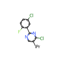 CC(C)c1cnc(-c2cc(Cl)ccc2F)nc1Cl